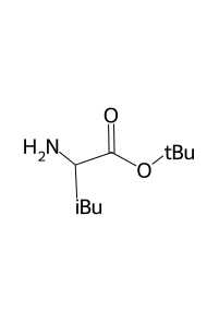 [CH2]CC(C)C(N)C(=O)OC(C)(C)C